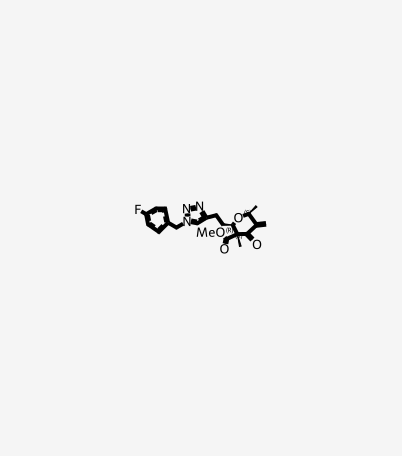 C=C1C(=O)[C@](C)(C(=O)OC)[C@@H](CCc2cn(Cc3ccc(F)cc3)nn2)O[C@H]1C